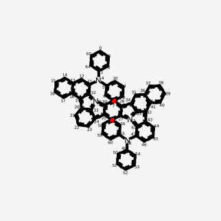 c1ccc(N(c2ccccc2)c2cc3ccccc3c3c4cccc5c6cc7c(cc6n(c23)c54)c2cc3ccccc3c3c4cccc(N(c5ccccc5)c5ccccc5)c4n7c23)cc1